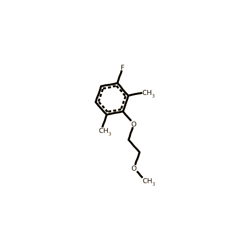 COCCOc1c(C)ccc(F)c1C